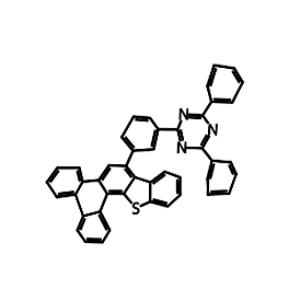 c1ccc(-c2nc(-c3ccccc3)nc(-c3cccc(-c4cc5c6ccccc6c6ccccc6c5c5sc6ccccc6c45)c3)n2)cc1